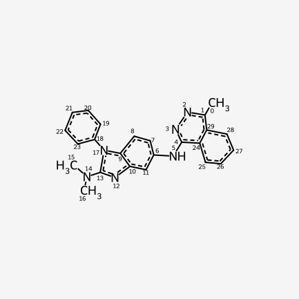 Cc1nnc(Nc2ccc3c(c2)nc(N(C)C)n3-c2ccccc2)c2ccccc12